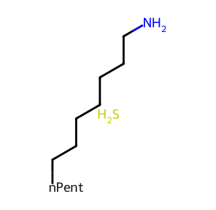 CCCCCCCCCCCCN.S